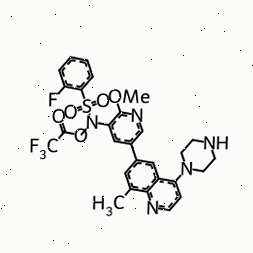 COc1ncc(-c2cc(C)c3nccc(N4CCNCC4)c3c2)cc1N(OC(=O)C(F)(F)F)S(=O)(=O)c1ccccc1F